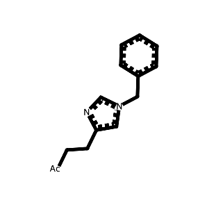 CC(=O)CCc1cn(Cc2ccccc2)cn1